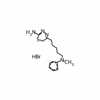 Br.CN(CCCCCC1=NN=C(N)SC1)c1ccccc1